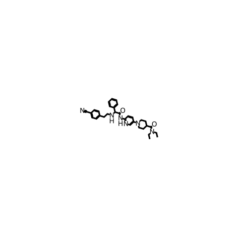 CCN(CC)C(=O)C1CCN(c2ccc(NC(=O)C(NCCc3ccc(C#N)cc3)c3ccccc3)nc2)CC1